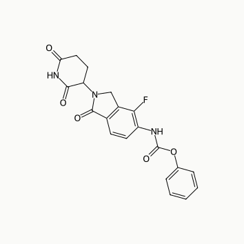 O=C1CCC(N2Cc3c(ccc(NC(=O)Oc4ccccc4)c3F)C2=O)C(=O)N1